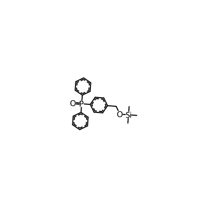 C[Si](C)(C)OCc1ccc(P(=O)(c2ccccc2)c2ccccc2)cc1